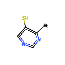 CCc1ncncc1S